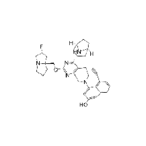 C#Cc1cccc2cc(O)cc(N3CCc4c(nc(OC[C@@]56CCCN5C[C@H](F)C6)nc4[C@@H]4C[C@H]5CC[C@@H](C4)N5)C3)c12